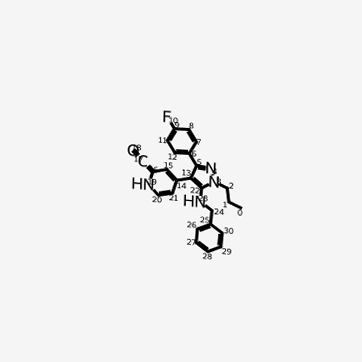 CCCn1nc(-c2ccc(F)cc2)c(C2=CC(=C=O)NC=C2)c1NCc1ccccc1